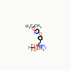 CC(C)Oc1ccc(Oc2ccc(CC[C@@](C)(N)OC(=O)C(F)(F)F)cc2)cn1